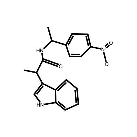 CC(NC(=O)C(C)c1c[nH]c2ccccc12)c1ccc([N+](=O)[O-])cc1